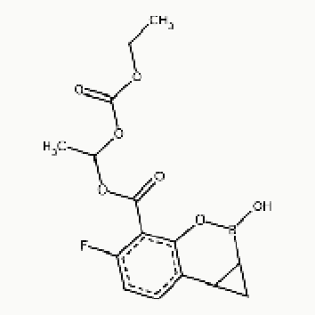 CCOC(=O)OC(C)OC(=O)c1c(F)ccc2c1OB(O)C1CC21